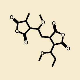 CCC(OC)C1C(=O)OC(=O)C1CC(OC)C1C(=O)OC(=O)C1C